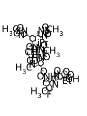 C=CCOC(=O)N(C)Cc1cc(NC(=O)[C@H](C)NC(=O)[C@@H](NC(=O)c2cc(-c3cnc(S(C)(=O)=O)nc3)cc(-c3cnc(S(C)(=O)=O)nc3)c2)C(C)C)ccc1COC(=O)N[C@H]1CCc2c(C)c(F)cc3nc4c(c1c23)Cn1c-4cc2c(c1=O)COC(=O)[C@]2(O)CC